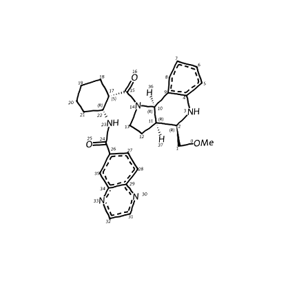 COC[C@@H]1Nc2ccccc2[C@H]2[C@@H]1CCN2C(=O)[C@H]1CCCC[C@H]1NC(=O)c1ccc2nccnc2c1